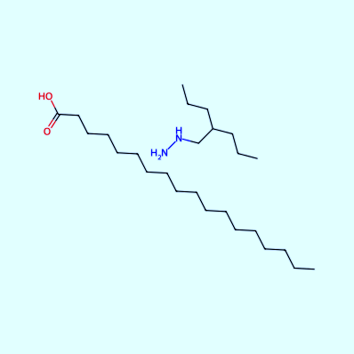 CCCC(CCC)CNN.CCCCCCCCCCCCCCCCCC(=O)O